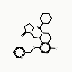 O=C1CCCN1C[C@@H]1c2c(OCc3ccccn3)ccc(Cl)c2CCN1C(=O)C1CCCCC1